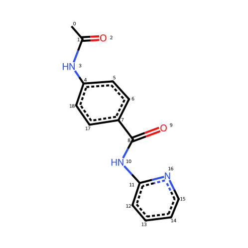 CC(=O)Nc1ccc(C(=O)Nc2ccccn2)cc1